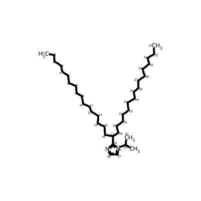 CCCCCCCCCCCCCCCCCC(CCCCCCCCCCCCCCCC)c1nccn1C(C)C